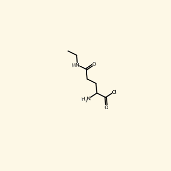 CCNC(=O)CCC(N)C(=O)Cl